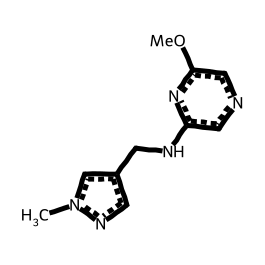 COc1cncc(NCc2cnn(C)c2)n1